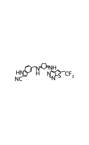 N#Cc1cc2cc(CN[C@@H]3CC[C@@H](Nc4ncnc5sc(CC(F)(F)F)cc45)C3)ccc2[nH]1